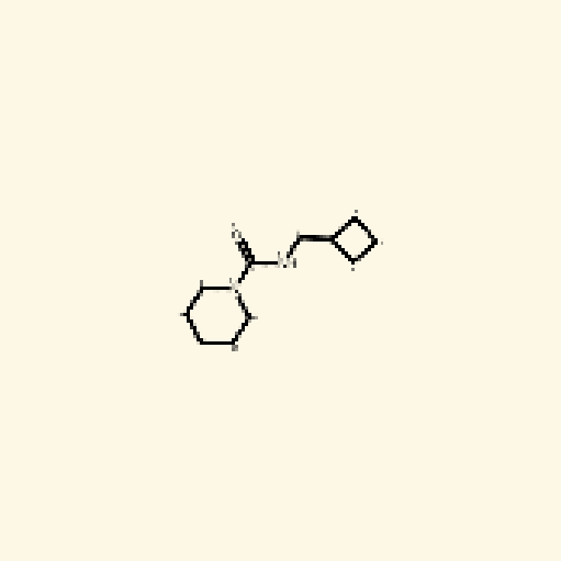 O=C(NCC1CCC1)N1CCCCC1